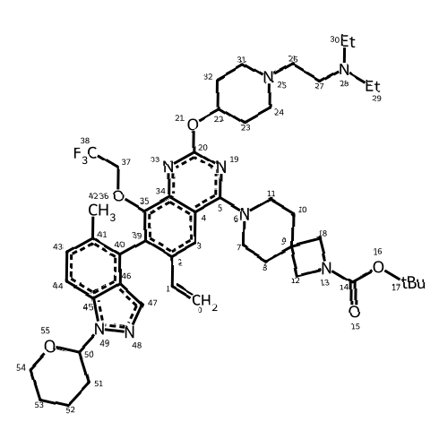 C=Cc1cc2c(N3CCC4(CC3)CN(C(=O)OC(C)(C)C)C4)nc(OC3CCN(CCN(CC)CC)CC3)nc2c(OCC(F)(F)F)c1-c1c(C)ccc2c1cnn2C1CCCCO1